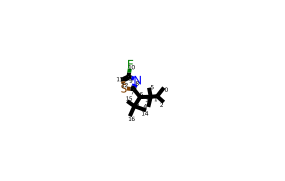 CC(C)C(C)(C)C(c1nc(F)cs1)C(C)(C)C